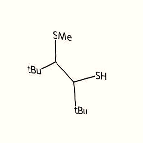 CSC(C(S)C(C)(C)C)C(C)(C)C